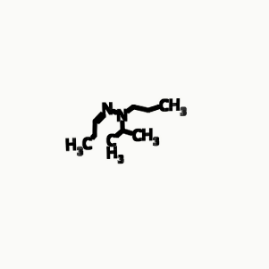 CC/C=N\N(CCC)C(C)C